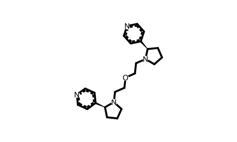 c1cc([C@H]2CCCN2CCOCCN2CCC[C@H]2c2ccncc2)ccn1